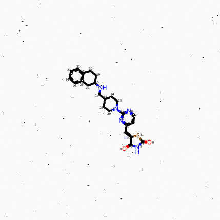 O=C1NC(=O)/C(=C/c2ccnc(N3CCC(CNC4CCc5ccccc5C4)CC3)n2)S1